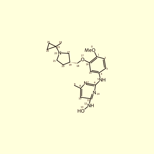 COc1ccc(Nc2nc(C)cc(NO)n2)cc1OC[C@@H]1CCN(C2(C)CC2)C1